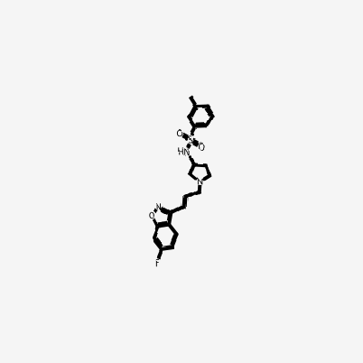 Cc1cccc(S(=O)(=O)NC2CCN(CCCc3noc4cc(F)ccc34)C2)c1